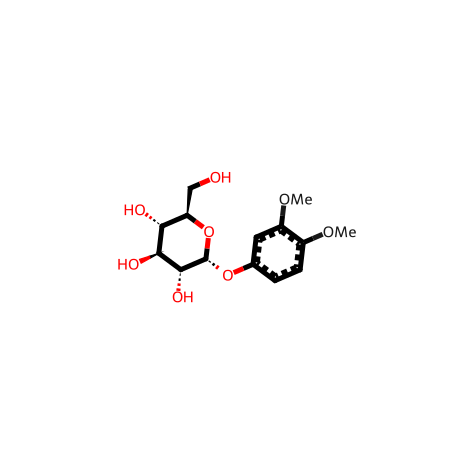 COc1ccc(O[C@H]2O[C@H](CO)[C@@H](O)[C@H](O)[C@H]2O)cc1OC